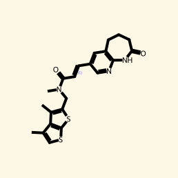 Cc1csc2sc(CN(C)C(=O)/C=C/c3cnc4c(c3)CCCC(=O)N4)c(C)c12